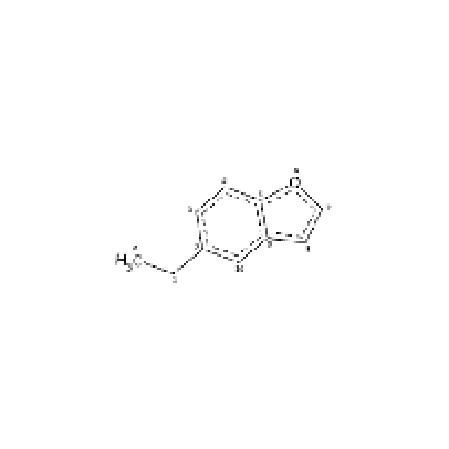 CCc1ccc2occc2c1